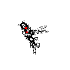 CC(C)(C)OC(=O)NC1CC2CCC(C1)N2c1cnc2c(-c3ccc4n[nH]c(Cl)c4c3Cl)cn(COCC[Si](C)(C)C)c2n1